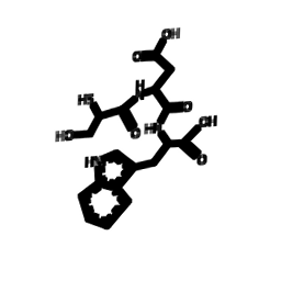 O=C(O)CC(NC(=O)C(S)CO)C(=O)NC(Cc1c[nH]c2ccccc12)C(=O)O